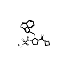 CS(=O)(=O)N[C@H]1CCN(C(=O)N2CCC2)[C@H]1CC1=CC=C2OC=C3C=CC=CC32C1